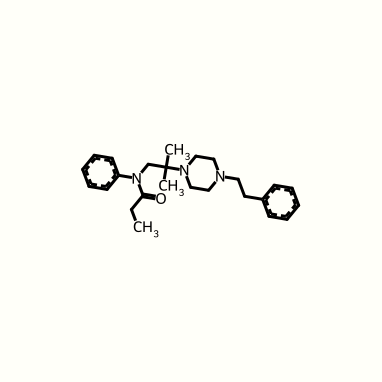 CCC(=O)N(CC(C)(C)N1CCN(CCc2ccccc2)CC1)c1ccccc1